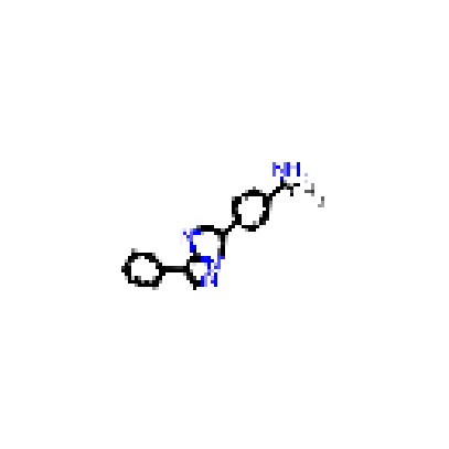 CC(N)c1ccc(-c2cnc3c(-c4ccccc4)cnn3c2)cc1